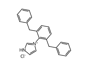 [Cl-].c1ccc(Cc2cccc(Cc3ccccc3)c2-[n+]2cc[nH]c2)cc1